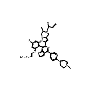 C=CC(=O)N1Cc2cc(-c3nc(-c4ccc(N5CCN(C)CC5)nc4)c4ccsc4c3-c3c(F)cc(F)cc3OCCOC)nn2CC1C